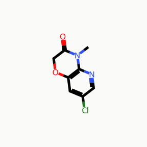 CN1C(=O)COc2cc(Cl)cnc21